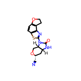 N#C[C@H]1C[C@H]2NC(=O)N(c3nc4c5c(ccc4s3)OCC5)[C@H]2CO1